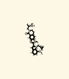 CNC(C)CN1CCc2cc3c(cc2C1=O)nc(-c1cc2cccc(OC)c2n1CC1CC1)n3C